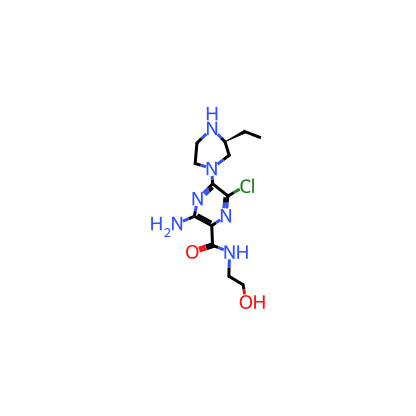 CC[C@H]1CN(c2nc(N)c(C(=O)NCCO)nc2Cl)CCN1